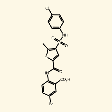 Cc1sc(C(=O)Nc2ccc(Br)cc2C(=O)O)cc1S(=O)(=O)Nc1ccc(Cl)cc1